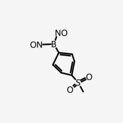 CS(=O)(=O)c1ccc(B(N=O)N=O)cc1